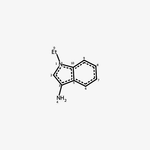 CCn1cc(N)c2ccccc21